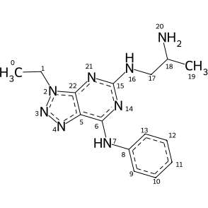 CCn1nnc2c(Nc3ccccc3)nc(NCC(C)N)nc21